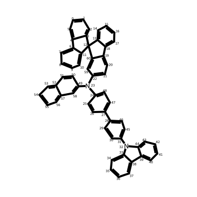 c1ccc2c(c1)-c1ccccc1C21c2ccccc2-c2ccc(N(c3ccc(-c4ccc(-n5c6ccccc6c6ccccc65)cc4)cc3)c3ccc4ccccc4c3)cc21